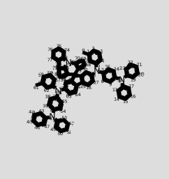 Cc1cccc(N(c2ccc(N(c3ccccc3)c3ccccc3)cc2)c2ccc3c(c2)C2(c4cc(N(c5ccc(N(c6ccccc6)c6ccccc6)cc5)c5cccc(C)c5)ccc4-3)c3ccccc3-n3c4ccccc4c4cccc2c43)c1